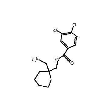 NCC1(CNC(=O)c2ccc(Cl)c(Cl)c2)CCCCC1